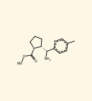 Cc1ccc(C(N)[C@H]2CCCN2C(=O)OC(C)(C)C)nc1